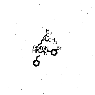 CCN(CC)CCCS(=O)(=O)N[C@H](CCc1ccccc1)c1nc(-c2cccc(Br)c2)no1